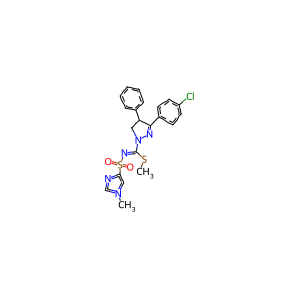 CSC(=NS(=O)(=O)c1cn(C)cn1)N1CC(c2ccccc2)C(c2ccc(Cl)cc2)=N1